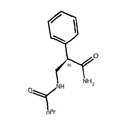 CCCC(=O)NC[C@H](C(N)=O)c1ccccc1